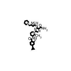 C[C@@H]1[C@H](NC(=O)c2ccc(C3CC3)cc2F)CCCN1c1cnc(C(N)=O)c(Nc2cc(CN3CCCCC3)ns2)n1